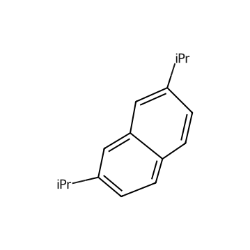 CC(C)c1ccc2ccc(C(C)C)cc2c1